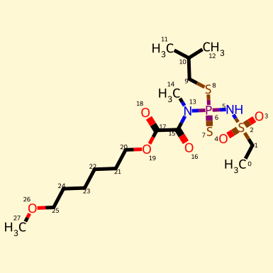 CCS(=O)(=O)NP(=S)(SCC(C)C)N(C)C(=O)C(=O)OCCCCCCOC